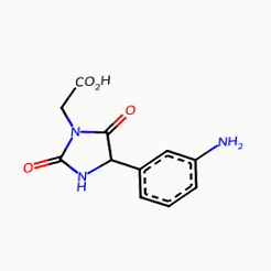 Nc1cccc(C2NC(=O)N(CC(=O)O)C2=O)c1